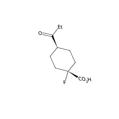 CCC(=O)[C@H]1CC[C@@](F)(C(=O)O)CC1